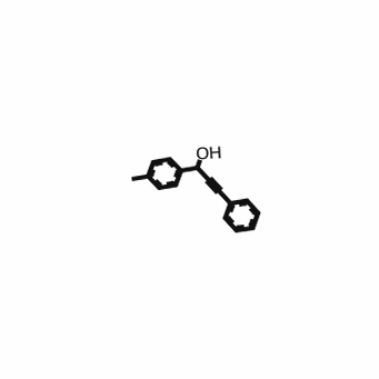 Cc1ccc(C(O)C#Cc2ccccc2)cc1